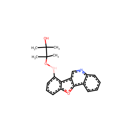 CC(C)(O)C(C)(C)OBc1cccc2oc3c4ccccc4ncc3c12